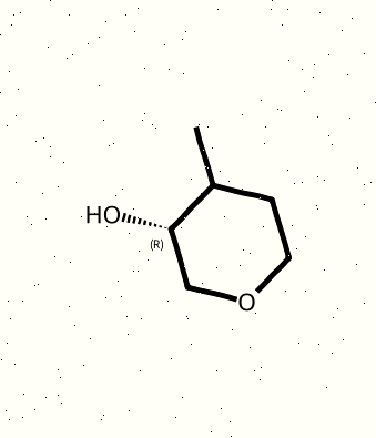 CC1CCOC[C@@H]1O